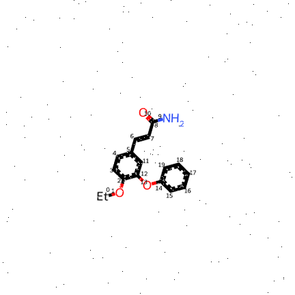 CCOc1ccc(/C=C/C(N)=O)cc1Oc1ccccc1